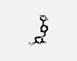 Nc1ccn(Cc2ccc(C3=C[N]N=N3)cc2)c(=O)n1